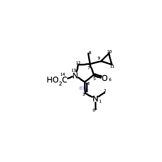 CN(C)/C=C1\C(=O)C(C)(C2CC2)CN1C(=O)O